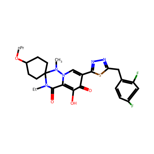 CCCOC1CCC2(CC1)N(CC)C(=O)c1c(O)c(=O)c(-c3nnc(Cc4ccc(F)cc4F)s3)cn1N2C